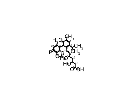 Cc1cc(C(C)C)c(C=CC(O)CC(O)CC(=O)O)c(-c2ccc(F)c3c2OCO3)c1C